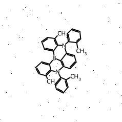 Cc1ccccc1N1c2cccc3c2B(c2cccc(C)c21)c1cccc(C)c1N3c1ccccc1C